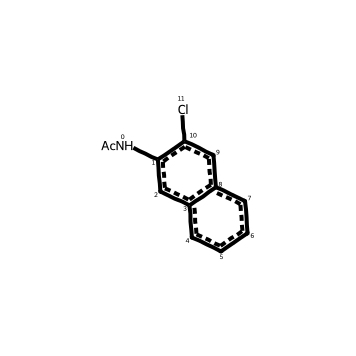 CC(=O)Nc1cc2ccccc2cc1Cl